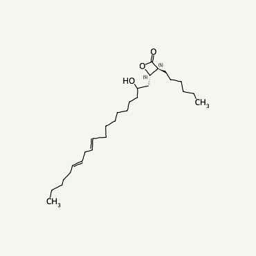 CCCCCC=CCC=CCCCCCCCC(O)C[C@@H]1OC(=O)[C@H]1CCCCCC